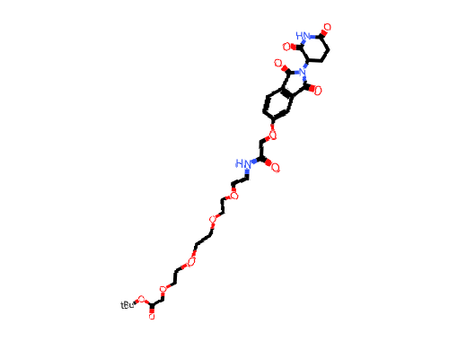 CC(C)(C)OC(=O)COCCOCCOCCOCCNC(=O)COc1ccc2c(c1)C(=O)N(C1CCC(=O)NC1=O)C2=O